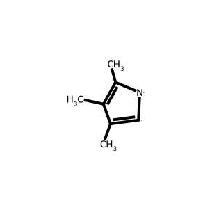 CC1=[C][N]C(C)=C1C